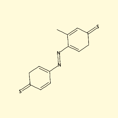 CC1=CC(=S)CC=C1N=NC1=CCC(=S)C=C1